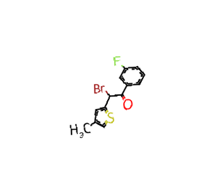 Cc1csc(C(Br)C(=O)c2cccc(F)c2)c1